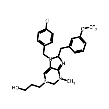 CN1CN(CCCO)C=C2C1=NC(Cc1cccc(OC(F)(F)F)c1)N2Cc1ccc(Cl)cc1